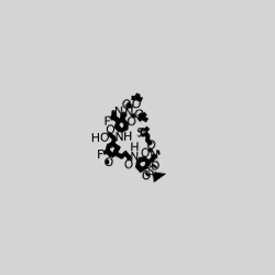 COc1c(F)cc(C(Nc2ccc3c(N(C(=O)OC(C)(C)C)C(=O)OC(C)(C)C)ncc(F)c3c2)C(=O)O)cc1CCC(=O)Nc1ccc(S(=O)(=O)C2CC2)c(CN(C)C(=O)OCC[Si](C)(C)C)c1